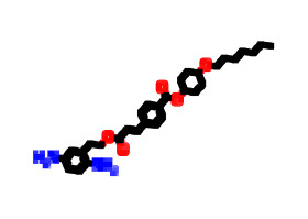 CCCCCCCOC1CCC(OC(=O)c2ccc(/C=C/C(=O)OCCc3cc(N)ccc3N)cc2)CC1